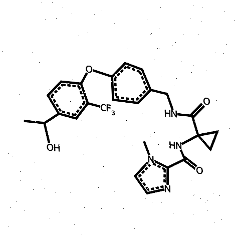 CC(O)c1ccc(Oc2ccc(CNC(=O)C3(NC(=O)c4nccn4C)CC3)cc2)c(C(F)(F)F)c1